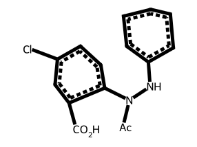 CC(=O)N(Nc1ccccc1)c1ccc(Cl)cc1C(=O)O